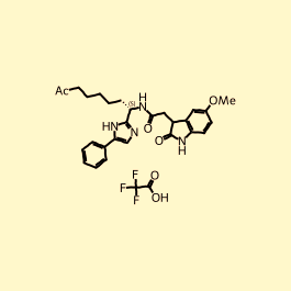 COc1ccc2c(c1)C(CC(=O)N[C@@H](CCCCCC(C)=O)c1ncc(-c3ccccc3)[nH]1)C(=O)N2.O=C(O)C(F)(F)F